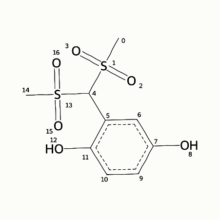 CS(=O)(=O)C(c1cc(O)ccc1O)S(C)(=O)=O